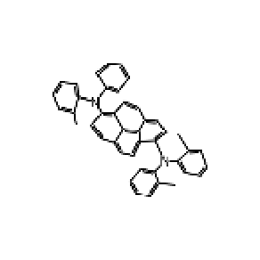 Cc1ccccc1N(c1ccccc1)c1ccc2ccc3c(N(c4ccccc4C)c4ccccc4C)ccc4ccc1c2c43